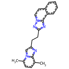 Cc1ccc(C)n2cc(CCc3nc4c5ccccc5ccn4n3)nc12